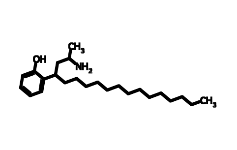 CCCCCCCCCCCCCCC(CC(C)N)c1ccccc1O